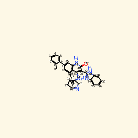 Cc1ccccc1-c1ccc2c(N[C@H]3CN4CCC3CC4)c(-c3nc4ccccc4[nH]3)c(=O)[nH]c2c1